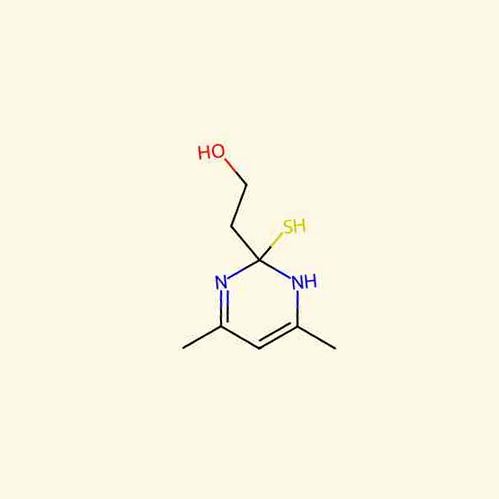 CC1=CC(C)=NC(S)(CCO)N1